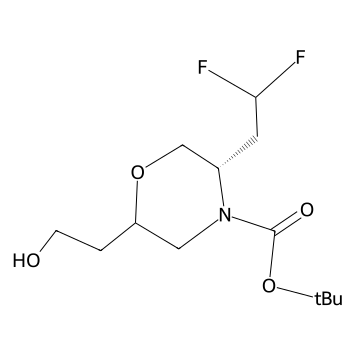 CC(C)(C)OC(=O)N1CC(CCO)OC[C@@H]1CC(F)F